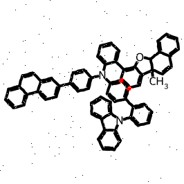 CC12C=Cc3ccccc3C1Oc1c(-c3ccccc3N(c3ccc(-c4ccc5c(ccc6ccccc65)c4)cc3)c3ccc(-c4ccccc4-n4c5ccccc5c5ccccc54)cc3)cccc12